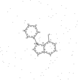 Cc1cccc2ccn(-c3ccccc3)c12